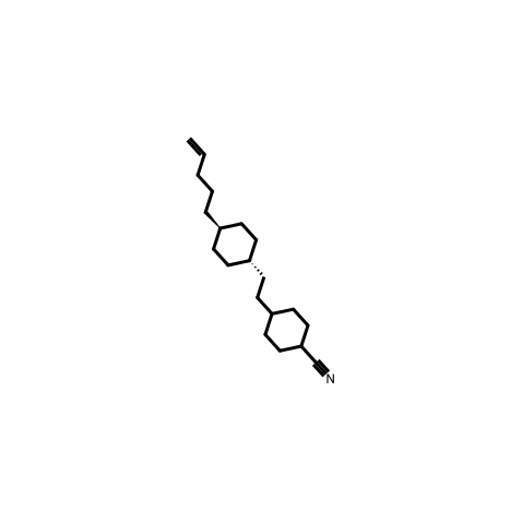 C=CCCC[C@H]1CC[C@H](CCC2CCC(C#N)CC2)CC1